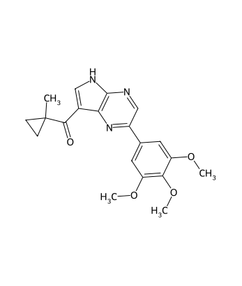 COc1cc(-c2cnc3[nH]cc(C(=O)C4(C)CC4)c3n2)cc(OC)c1OC